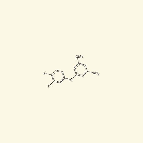 COc1cc(N)cc(Oc2ccc(F)c(F)c2)c1